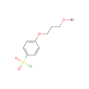 CCOCCCOc1ccc(S(=O)(=O)Cl)cc1